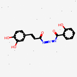 O=C(C=Cc1ccc(O)c(O)c1)N=[N+]=NC(=O)c1ccccc1O